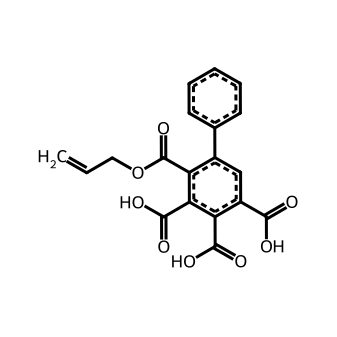 C=CCOC(=O)c1c(-c2ccccc2)cc(C(=O)O)c(C(=O)O)c1C(=O)O